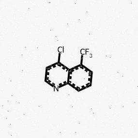 FC(F)(F)c1cccc2nccc(Cl)c12